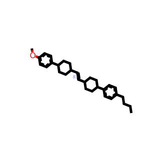 CCCCc1ccc(C2CCC(/C=C/C3CCC(c4ccc(OC)cc4)CC3)CC2)cc1